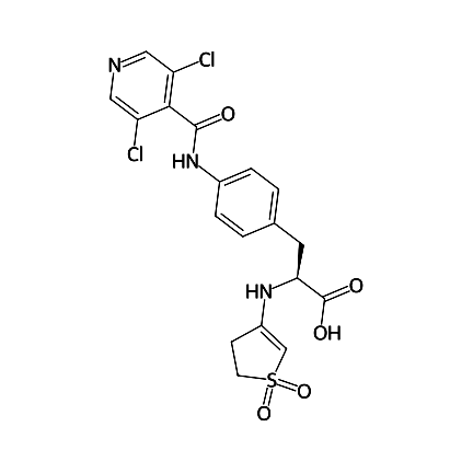 O=C(Nc1ccc(C[C@H](NC2=CS(=O)(=O)CC2)C(=O)O)cc1)c1c(Cl)cncc1Cl